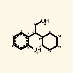 OCC(c1ccccc1O)C1CCCCC1